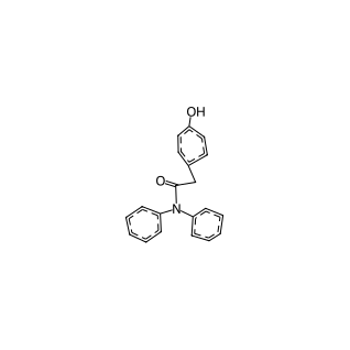 O=C(Cc1ccc(O)cc1)N(c1ccccc1)c1ccccc1